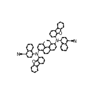 C=Cc1c(N(c2ccc(C#N)c3ccccc23)c2cccc3c2oc2ccccc23)ccc2ccc3c(N(c4ccc(C#N)c5ccccc45)c4cccc5c4oc4ccccc45)ccc(C)c3c12